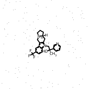 C[C@](O)(Cn1c2c(c3cc(C(F)(F)F)ccc31)CN1CCC[C@@H]1C2)c1cccnc1